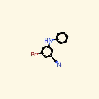 N#Cc1cc(Br)cc(Nc2ccccc2)c1